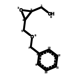 OCC1OC1COCc1ccccc1